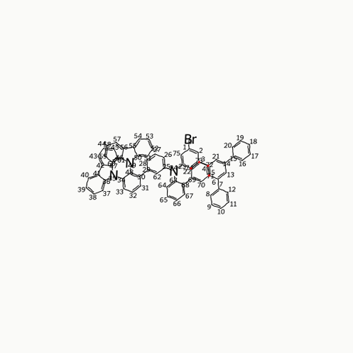 Brc1cc(-c2cc(-c3ccccc3)cc(-c3ccccc3)c2)cc(N(c2cccc(-c3cccc(-n4c5ccccc5c5ccccc54)c3-n3c4ccccc4c4ccccc43)c2)c2ccccc2-c2ccccc2)c1